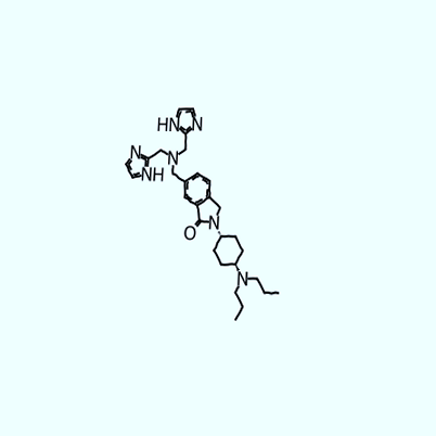 CCCN(CCC)[C@H]1CC[C@H](N2Cc3ccc(CN(Cc4ncc[nH]4)Cc4ncc[nH]4)cc3C2=O)CC1